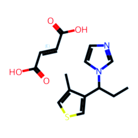 CCC(c1cscc1C)n1ccnc1.O=C(O)/C=C/C(=O)O